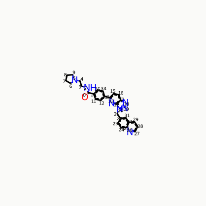 O=C(NCCN1CCCC1)c1ccc(-c2ccc3nnn(Cc4ccc5ncccc5c4)c3n2)cc1